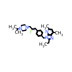 CCc1nc2c(C)cc(C)nc2n1Cc1ccc(/C=C(\F)CN2CCN(C(C)C)CC2)cc1